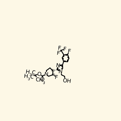 CC(C)(C)OC(=O)N1CC[C@H](c2nc(-c3ccc(F)c(C(F)(F)F)c3)cn2CCO)[C@@H](F)C1